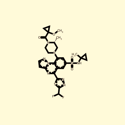 COC1(C(=O)N2CCN(c3cc(S(=O)(=O)NC4(C)CC4)cc4c(-c5nnc(C(F)F)s5)nc5ccnn5c34)C[C@H]2C)CC1